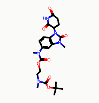 CN(CCOC(=O)N(C)c1ccc2c(c1)n(C)c(=O)n2C1CCC(=O)NC1=O)C(=O)OC(C)(C)C